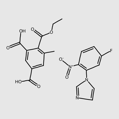 CCOC(=O)c1c(C)cc(C(=O)O)cc1C(=O)O.O=[N+]([O-])c1ccc(F)cc1-n1ccnc1